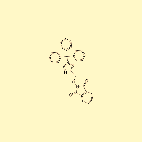 O=C1c2ccccc2C(=O)N1OCc1ncn(C(c2ccccc2)(c2ccccc2)c2ccccc2)n1